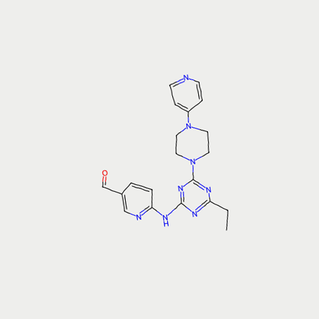 CCc1nc(Nc2ccc(C=O)cn2)nc(N2CCN(c3ccncc3)CC2)n1